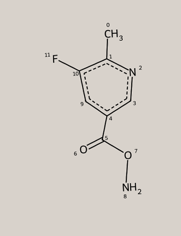 Cc1ncc(C(=O)ON)cc1F